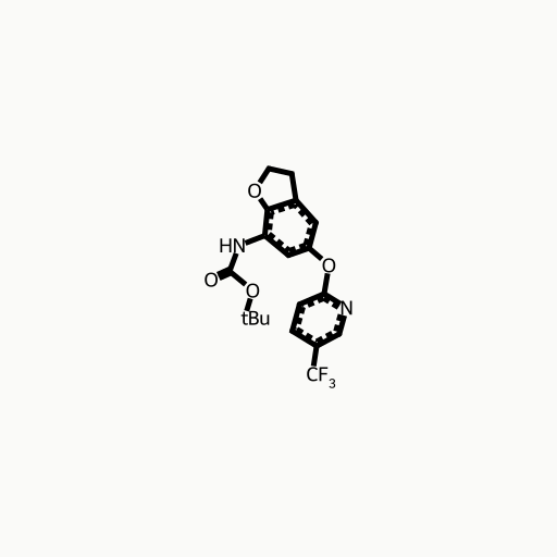 CC(C)(C)OC(=O)Nc1cc(Oc2ccc(C(F)(F)F)cn2)cc2c1OCC2